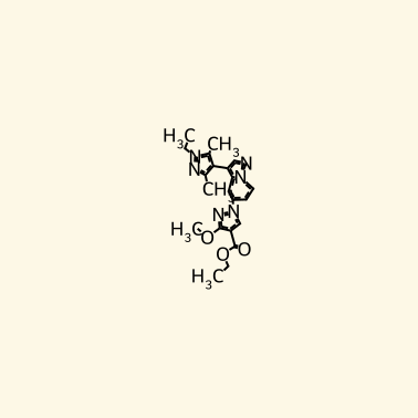 CCOC(=O)c1cn(-c2ccn3ncc(-c4c(C)nn(CC)c4C)c3c2)nc1OC